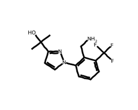 CC(C)(O)c1ccn(-c2cccc(C(F)(F)F)c2CN)n1